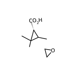 C1CO1.CC1[C@@H](C(=O)O)C1(C)C